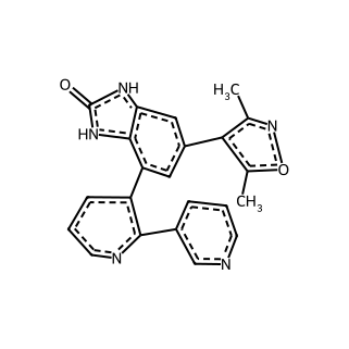 Cc1noc(C)c1-c1cc(-c2cccnc2-c2cccnc2)c2[nH]c(=O)[nH]c2c1